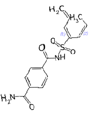 C=C/C=C(\C=C/C)S(=O)(=O)NC(=O)c1ccc(C(N)=O)cc1